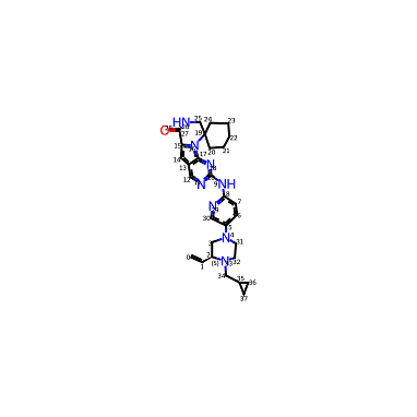 C=C[C@H]1CN(c2ccc(Nc3ncc4cc5n(c4n3)C3(CCCCC3)CNC5=O)nc2)CCN1CC1CC1